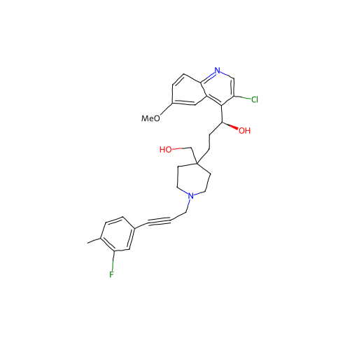 COc1ccc2ncc(Cl)c([C@@H](O)CCC3(CO)CCN(CC#Cc4ccc(C)c(F)c4)CC3)c2c1